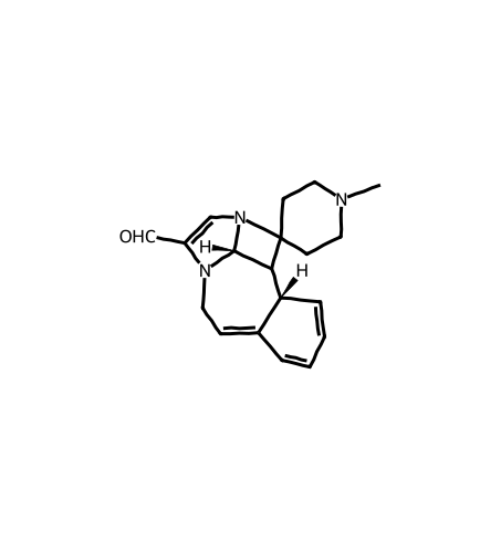 CN1CCC2(CC1)C1[C@@H]3C=CC=CC3=CCN3C(C=O)=CN2[C@H]13